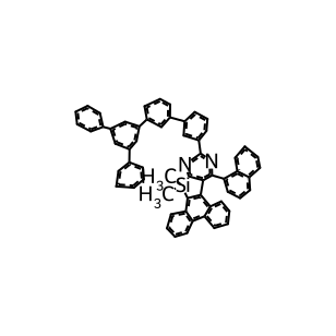 C[Si]1(C)c2nc(-c3cccc(-c4cccc(-c5cc(-c6ccccc6)cc(-c6ccccc6)c5)c4)c3)nc(-c3cccc4ccccc34)c2-c2c1c1ccccc1c1ccccc21